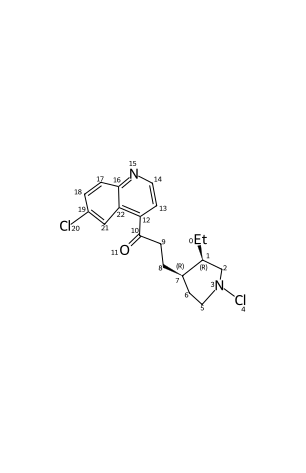 CC[C@H]1CN(Cl)CC[C@H]1CCC(=O)c1ccnc2ccc(Cl)cc12